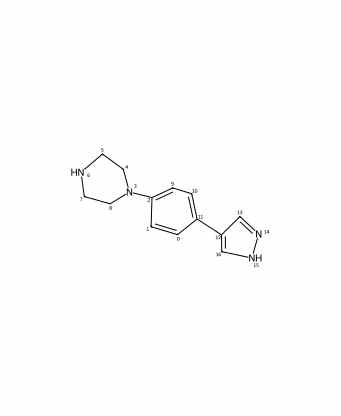 c1cc(N2CCNCC2)ccc1-c1cn[nH]c1